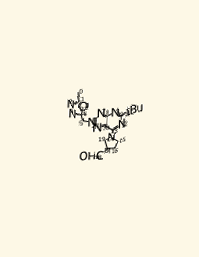 Cc1nnc(Cn2nc3nc(C(C)(C)C)nc(N4CC[C@H](C=O)C4)c3n2)o1